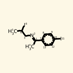 C/C(=N\CC(C)I)c1ccc(I)cc1